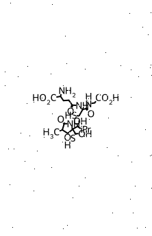 CC(C)C(O)C1(C(O)=S)NC(=O)C(C)C1O.NC(CCC(=O)NC(CS)C(=O)NCC(=O)O)C(=O)O